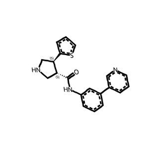 O=C(Nc1cccc(-c2cccnc2)c1)[C@@H]1CNC[C@H]1c1cccs1